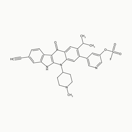 C#Cc1ccc2c(c1)[nH]c1c2c(=O)c2cc(C(C)C)c(-c3cncc(OS(=O)(=O)F)c3)cc2n1C1CCN(C)CC1